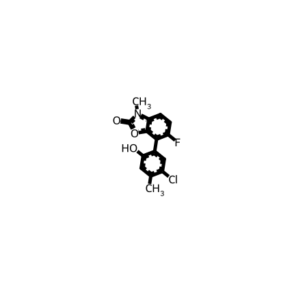 Cc1cc(O)c(-c2c(F)ccc3c2oc(=O)n3C)cc1Cl